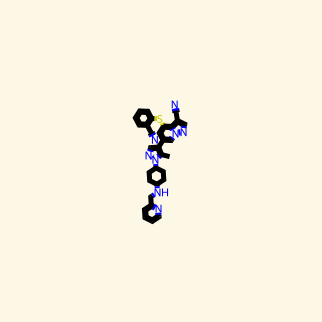 Cc1c(-c2cc(Sc3ccccc3C#N)c3c(C#N)cnn3c2)cnn1C1CCC(NCc2ccccn2)CC1